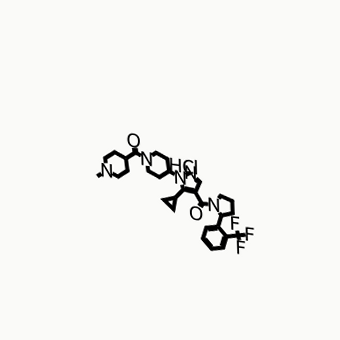 CN1CCC(C(=O)N2CCC(n3ncc(C(=O)N4CCCC4c4ccccc4C(F)(F)F)c3C3CC3)CC2)CC1.Cl